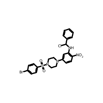 O=[N+]([O-])c1ccc(N2CCN(S(=O)(=O)c3ccc(Br)cc3)CC2)cc1NC(Cl)c1ccccc1